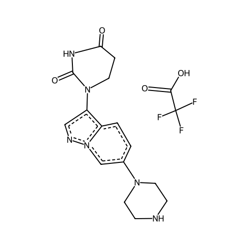 O=C(O)C(F)(F)F.O=C1CCN(c2cnn3cc(N4CCNCC4)ccc23)C(=O)N1